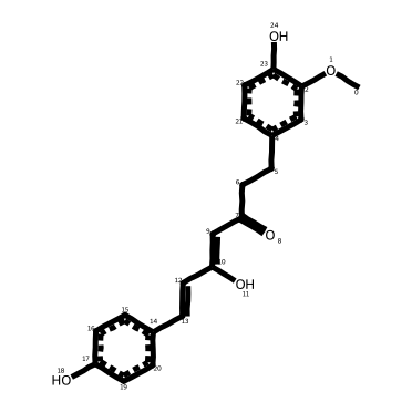 COc1cc(CCC(=O)C=C(O)C=Cc2ccc(O)cc2)ccc1O